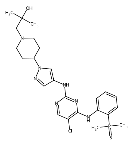 CC(C)(O)CN1CCC(n2cc(Nc3ncc(Cl)c(Nc4ccccc4P(C)(C)=S)n3)cn2)CC1